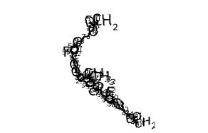 C=CC(=O)OCCCCOc1ccc(C=COCOc2ccc3c(c2)C(C)(C)c2cc(OC(=O)C=Cc4ccc(OCCCCOC(=O)C=C)cc4F)ccc2-3)c(F)c1